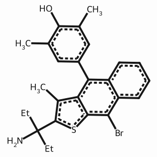 CCC(N)(CC)c1sc2c(Br)c3ccccc3c(-c3cc(C)c(O)c(C)c3)c2c1C